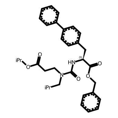 CC(C)CN(CCC(=O)OC(C)C)C(=O)N[C@@H](Cc1ccc(-c2ccccc2)cc1)C(=O)OCc1ccccc1